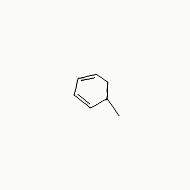 CC1C=CC=CC1